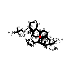 Cc1cc(-c2ncnn2[C@@H]2C[C@@]34COC[C@@](C)([C@H]2OC[C@](C)(N)C(C)(C)C)[C@H]3CC[C@H]2C4=CC[C@@]3(C)[C@H](C(=O)O)[C@@](C)([C@H](C)C(C)C)CC[C@]23C)cc(C)n1